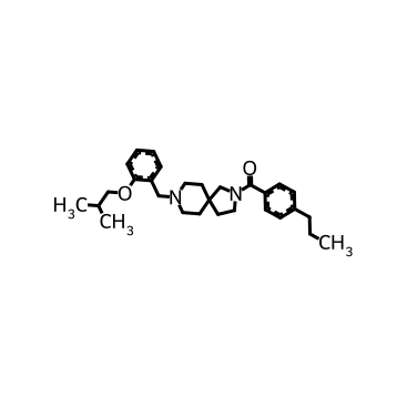 CCCc1ccc(C(=O)N2CCC3(CCN(Cc4ccccc4OCC(C)C)CC3)C2)cc1